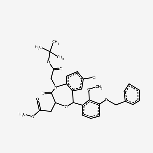 COC(=O)CC1OC(c2cccc(OCc3ccccc3)c2OC)c2cc(Cl)ccc2N(CC(=O)OC(C)(C)C)C1=O